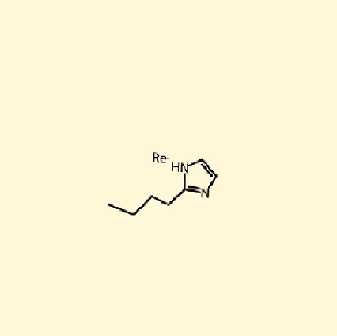 CCCCc1ncc[nH]1.[Re]